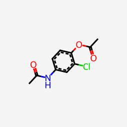 CC(=O)Nc1ccc(OC(C)=O)c(Cl)c1